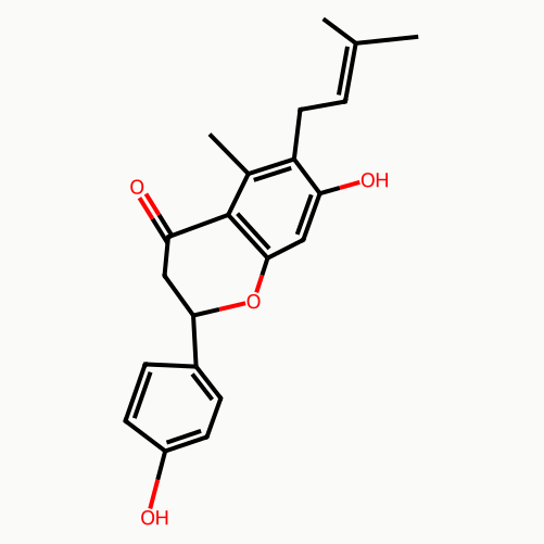 CC(C)=CCc1c(O)cc2c(c1C)C(=O)CC(c1ccc(O)cc1)O2